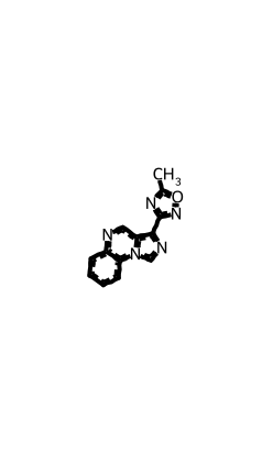 Cc1nc(-c2ncn3c2cnc2ccccc23)no1